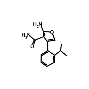 CC(C)c1ccccc1-c1coc(N)c1C(N)=O